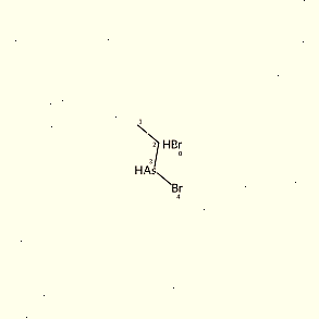 Br.CC[AsH]Br